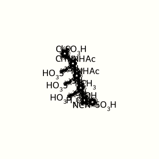 CC(=O)Nc1cc(N=Nc2cc(SCCCS(=O)(=O)O)c(N=Nc3cc(OCCCS(=O)(=O)O)c(N=Nc4c(C)c(C#N)c5nc6cc(S(=O)(=O)O)ccc6n5c4O)cc3C)cc2NC(C)=O)c(SCCCS(=O)(=O)O)cc1N=Nc1cc(S(=O)(=O)O)c(Cl)cc1Cl